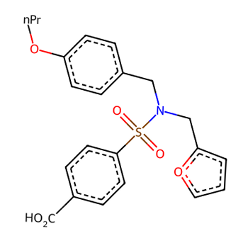 CCCOc1ccc(CN(Cc2ccco2)S(=O)(=O)c2ccc(C(=O)O)cc2)cc1